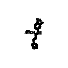 Cc1cc(NCCCn2ccnc2)ccc1N.Cl.Cl